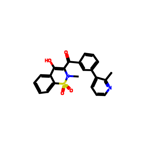 Cc1ncccc1-c1cccc(C(=O)C2=C(O)c3ccccc3S(=O)(=O)N2C)c1